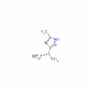 CC(C(=O)O)c1n[nH]c(C(F)(F)F)n1